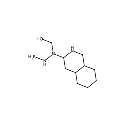 BNN(CO)C1CC2CCCCC2CN1